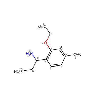 COCOc1cc(OC(C)=O)ccc1C(N)CC(=O)O